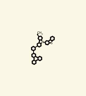 C=Cc1ccc2c(c1)c1cc(-c3cccc(-c4ccc5c6ccccc6c6ccccc6c5c4)c3)ccc1n2-c1ccc2sc3ccccc3c2c1